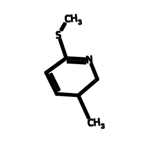 CSC1=NCC(C)C=C1